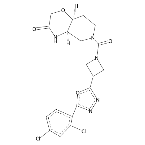 O=C1CO[C@H]2CCN(C(=O)N3CC(c4nnc(-c5ccc(Cl)cc5Cl)o4)C3)C[C@H]2N1